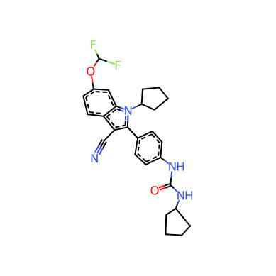 N#Cc1c(-c2ccc(NC(=O)NC3CCCC3)cc2)n(C2CCCC2)c2cc(OC(F)F)ccc12